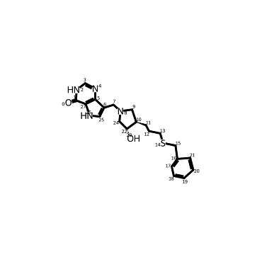 O=c1[nH]cnc2c(CN3C[C@@H](CCCSCc4ccccc4)[C@H](O)C3)c[nH]c12